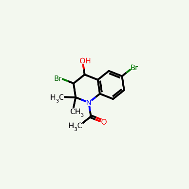 CC(=O)N1c2ccc(Br)cc2C(O)C(Br)C1(C)C